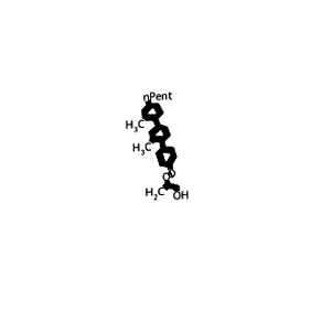 C=C(CO)OOc1ccc(-c2ccc(-c3ccc(CCCCC)cc3C)cc2C)cc1